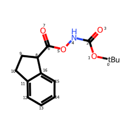 CC(C)(C)OC(=O)NOC(=O)C1CCc2ccccc21